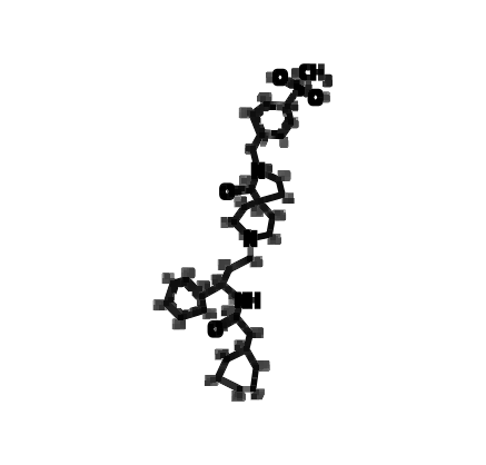 CS(=O)(=O)c1ccc(CN2CCC3(CCN(CCC(NC(=O)CC4CCCCC4)c4ccccc4)CC3)C2=O)cc1